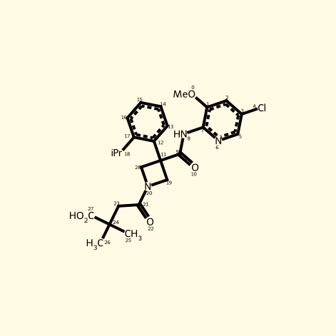 COc1cc(Cl)cnc1NC(=O)C1(c2ccccc2C(C)C)CN(C(=O)CC(C)(C)C(=O)O)C1